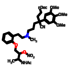 CCCCCCCCCCCCC(C#N)(CCCN(C)CCc1ccccc1OCC(O[N+](=O)[O-])C(C)NC(C)=O)c1cc(OC)c(OC)c(OC)c1